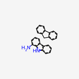 Nc1cccc2c1[nH]c1ccccc12.c1ccc2c(c1)Cc1ccccc1-2